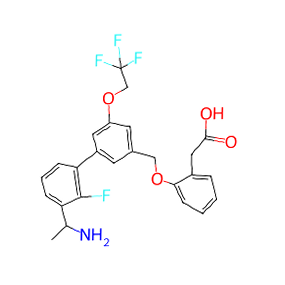 CC(N)c1cccc(-c2cc(COc3ccccc3CC(=O)O)cc(OCC(F)(F)F)c2)c1F